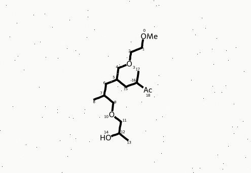 COCCOCC(CC(C)COCC(C)O)CC(C)C(C)=O